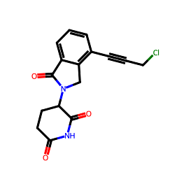 O=C1CCC(N2Cc3c(C#CCCl)cccc3C2=O)C(=O)N1